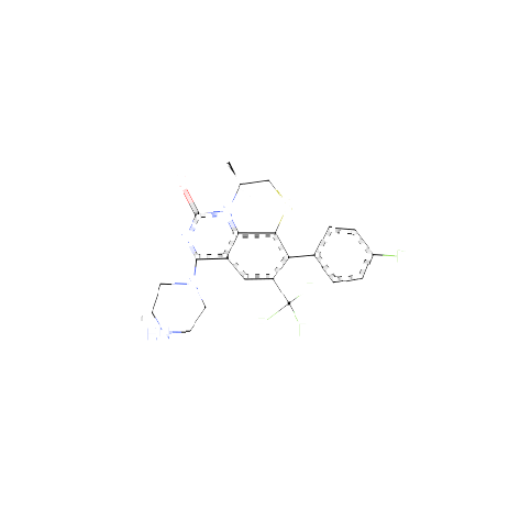 C[C@@H]1CN(c2nc(=O)n3c4c(c(-c5ccc(F)cc5)c(C(F)(F)F)cc24)SC[C@@H]3C)C[C@H](C)N1